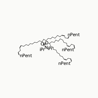 CCCCC/C=C\C/C=C\CCCCCCCCC(CCCCCCCC/C=C\C/C=C\CCCCC)OP(OC(CCCCCCCC/C=C\C/C=C\CCCCC)CCCCCCCC/C=C\C/C=C\CCCCC)N(C(C)C)C(C)C